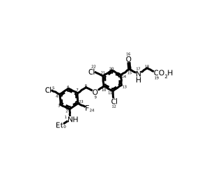 CCNc1cc(Cl)cc(COc2c(Cl)cc(C(=O)NCC(=O)O)cc2Cl)c1F